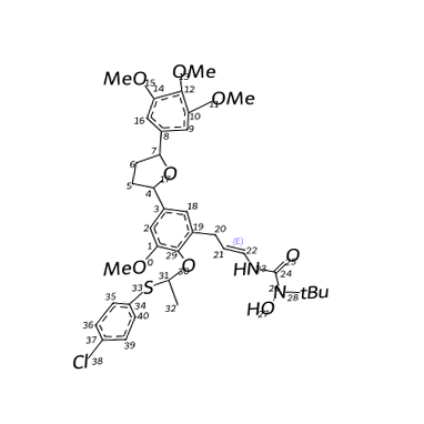 COc1cc(C2CCC(c3cc(OC)c(OC)c(OC)c3)O2)cc(C/C=C/NC(=O)N(O)C(C)(C)C)c1OC(C)Sc1ccc(Cl)cc1